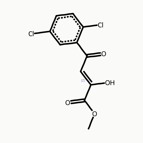 COC(=O)/C(O)=C/C(=O)c1cc(Cl)ccc1Cl